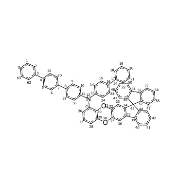 c1ccc(-c2ccc(-c3ccc(N(c4ccc(-c5ccccc5)cc4)c4cccc5c4Oc4cc6c(cc4O5)-c4ccccc4C64c5ccccc5-c5ccccc54)cc3)cc2)cc1